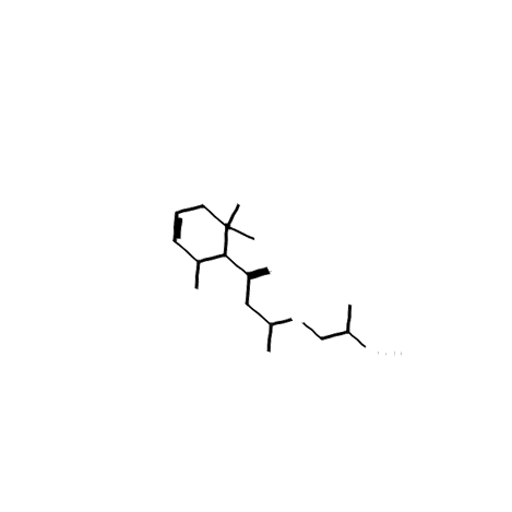 CC(CC(=O)C1C(C)C=CCC1(C)C)SCC(C)C(=O)O